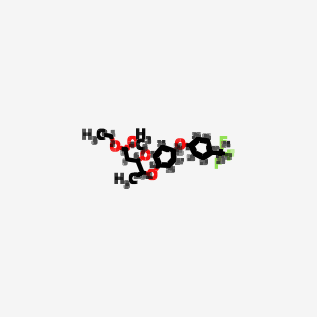 CCOC(=O)CC(OC)C(C)Oc1ccc(Oc2ccc(C(F)(F)F)cc2)cc1